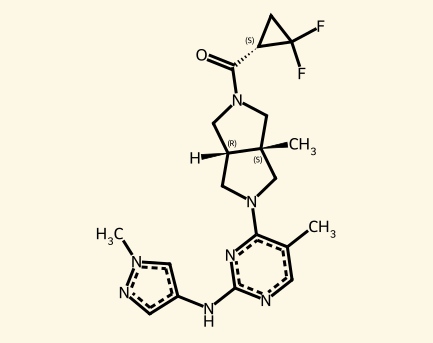 Cc1cnc(Nc2cnn(C)c2)nc1N1C[C@@H]2CN(C(=O)[C@@H]3CC3(F)F)C[C@]2(C)C1